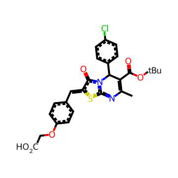 CC1=C(C(=O)OC(C)(C)C)C(c2ccc(Cl)cc2)n2c(s/c(=C\c3ccc(OCC(=O)O)cc3)c2=O)=N1